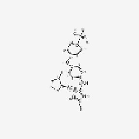 CC(=O)N1CCCC1Cc1cc(Nc2nc(C)ns2)ccc1Oc1ccc(S(C)(=O)=O)cc1